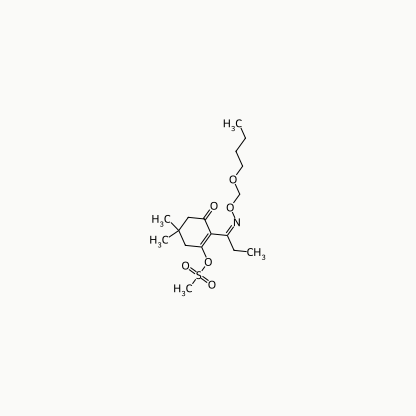 CCCCOCO/N=C(/CC)C1=C(OS(C)(=O)=O)CC(C)(C)CC1=O